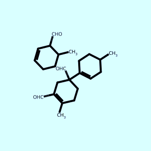 CC1=C(C=O)CC(C=O)(C2=CCC(C)CC2)CC1.CC1CCC=CC1C=O